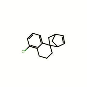 Clc1cccc2c1CCCC21CC2C=CC1C2